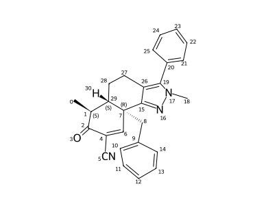 C[C@@H]1C(=O)C(C#N)=C[C@]2(Cc3ccccc3)c3nn(C)c(-c4ccccc4)c3CC[C@@H]12